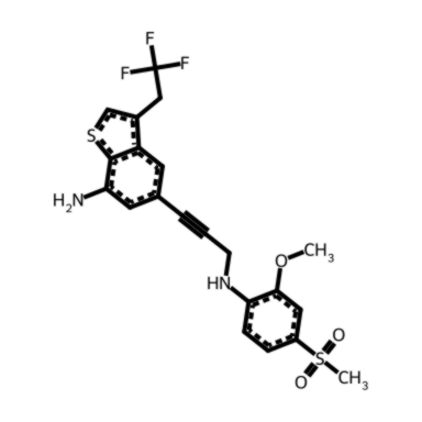 COc1cc(S(C)(=O)=O)ccc1NCC#Cc1cc(N)c2scc(CC(F)(F)F)c2c1